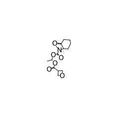 CC(OC(=O)C1COC1)OC(=O)N(C)[C@]1(C)CCCCC1=O